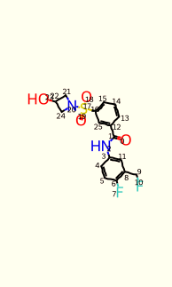 O=C(Nc1ccc(F)c(CF)c1)c1cccc(S(=O)(=O)N2CC(O)C2)c1